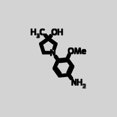 COc1cc(N)ccc1N1CCC(C)(O)C1